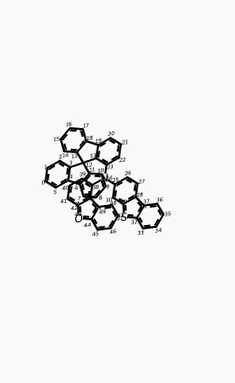 c1ccc2c(c1)-c1ccccc1C21c2ccccc2-c2cccc(N(c3ccc4c(c3)sc3ccccc34)c3cccc4oc5ccccc5c34)c21